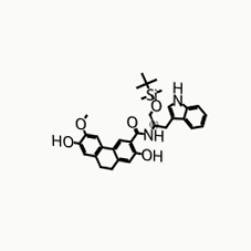 COc1cc2c(cc1O)CCc1cc(O)c(C(=O)N[C@@H](CO[Si](C)(C)C(C)(C)C)Cc3c[nH]c4ccccc34)cc1-2